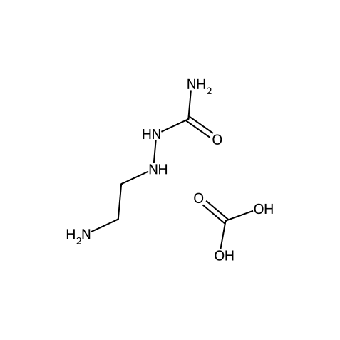 NCCNNC(N)=O.O=C(O)O